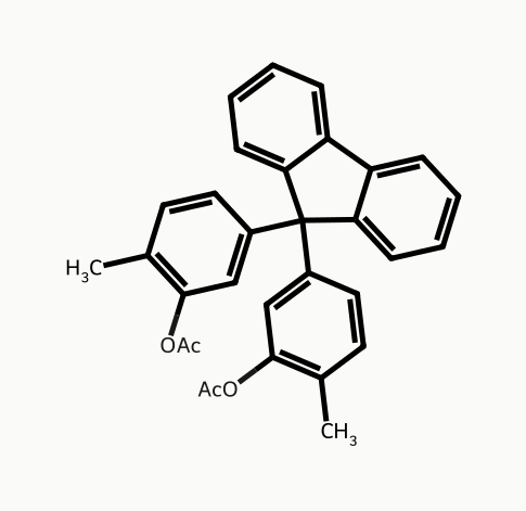 CC(=O)Oc1cc(C2(c3ccc(C)c(OC(C)=O)c3)c3ccccc3-c3ccccc32)ccc1C